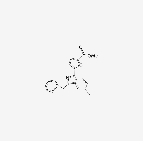 COC(=O)c1ccc(-c2nn(Cc3ccccc3)c3cc(C)ccc23)o1